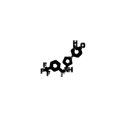 C[C@@H](NC1CC[C@H](c2ccc(=O)[nH]c2)C1)c1cccc(C(F)(F)F)c1